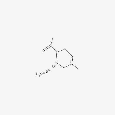 C=C(C)C1CC=C(C)CC1.[S-2].[S-2].[SH6+4]